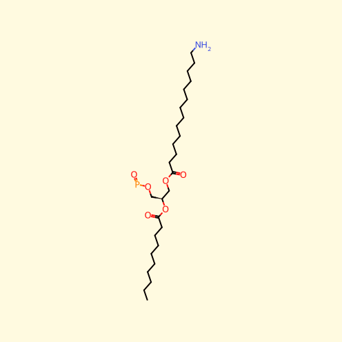 CCCCCCCCCC(=O)O[C@@H](COP=O)COC(=O)CCCCCCCCCCCCCN